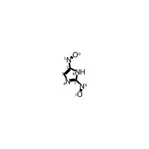 O=Nc1cnc(N=O)[nH]1